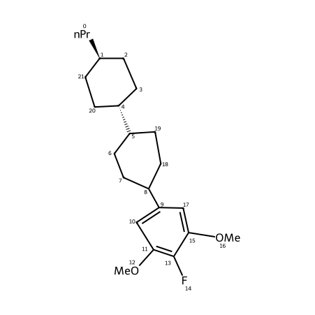 CCC[C@H]1CC[C@H](C2CCC(c3cc(OC)c(F)c(OC)c3)CC2)CC1